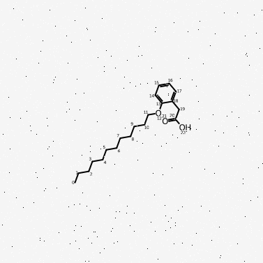 CCCCCCCCCCCCOc1ccccc1CC(=O)O